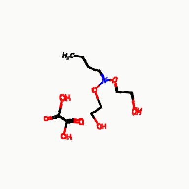 CCCCN(OCCO)OCCO.O=C(O)C(=O)O